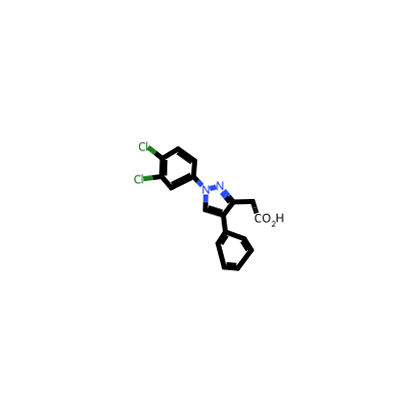 O=C(O)Cc1nn(-c2ccc(Cl)c(Cl)c2)cc1-c1ccccc1